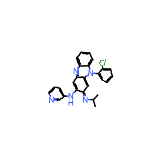 CC(C)/N=c1\cc2n(-c3ccccc3Cl)c3ccccc3nc-2cc1Nc1cccnc1